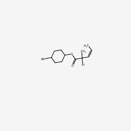 C/C=C\C(C)(CC)C(=O)OC1CCC(C(C)(C)C)CC1